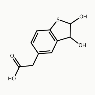 O=C(O)Cc1ccc2c(c1)C(O)C(O)S2